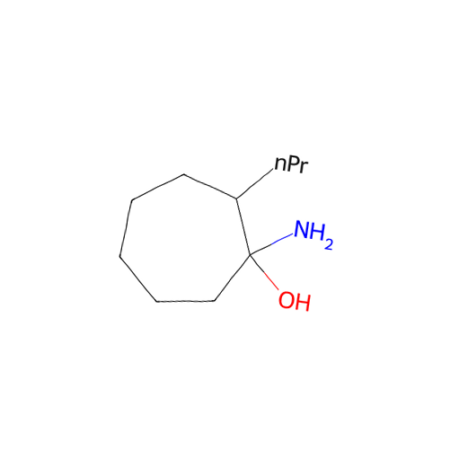 CCCC1CCCCCC1(N)O